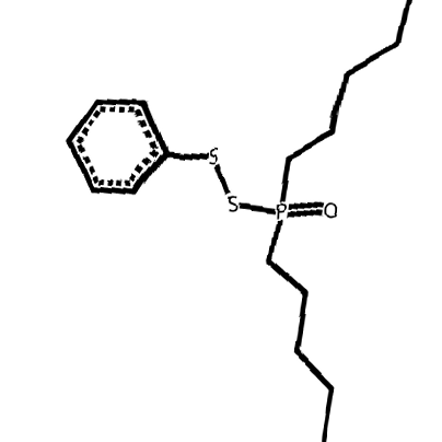 CCCCCP(=O)(CCCCC)SSc1ccccc1